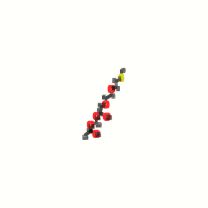 CSCCOCCOCC(=O)OCOC(C)=O